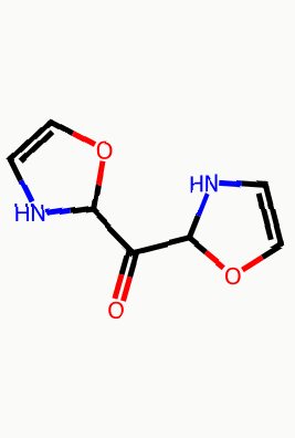 O=C(C1NC=CO1)C1NC=CO1